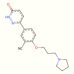 N#Cc1cc(-c2ccc(=O)[nH]n2)ccc1OCCCN1CCCC1